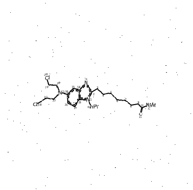 CCCn1c(CCCCCCCC(=O)NC)nc2cc(N(CCCl)CCCl)ccc21